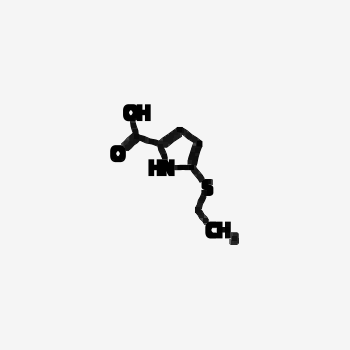 CCSc1ccc(C(=O)O)[nH]1